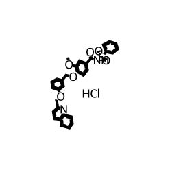 COc1cc(C(=O)NS(=O)(=O)c2ccccc2)ccc1OCc1cccc(OCc2ccc3ccccc3n2)c1.Cl